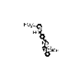 COc1ccccc1-n1ncc(-c2nc(-c3ccc([C@H](O)CN4CCC[C@H](CC(=O)O)C4)cc3)no2)c1C(F)(F)F